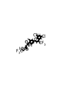 Cc1cc(C(=O)C=C(c2cc(Cl)cc(Cl)c2)C(F)(F)F)ccc1C(=O)NCC(=O)NCC(F)(F)F